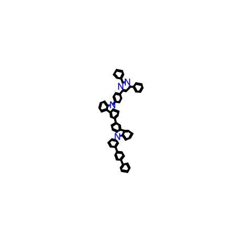 C1=C(c2cc(-c3ccccc3)nc(-c3ccccc3)n2)CCC(n2c3ccccc3c3cc(-c4ccc5c(c4)c4ccccc4n5-c4cccc(-c5ccc(-c6ccccc6)cc5)c4)ccc32)=C1